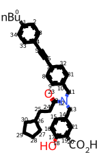 CCCCc1ccc(C#Cc2ccc(CN(Cc3ccc(O)c(C(=O)O)c3)C(=O)CCC3CCCC3)cc2)cc1